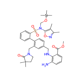 COC(=O)c1cccc(N)c1NCc1ccc(-c2ccccc2S(=O)(=O)N(CO[Si](C)(C)C)c2onc(C)c2C)c(CN2CCC(C)(C)C2=O)c1